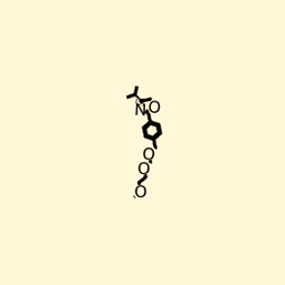 COCCOCOCc1ccc(C2=N[C@@H](C(C)C)CO2)cc1